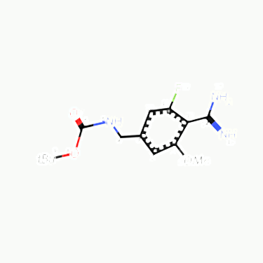 COc1cc(CNC(=O)OC(C)(C)C)cc(F)c1C(=N)N